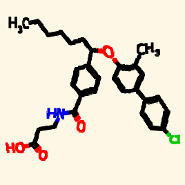 CCCCCCC(Oc1ccc(-c2ccc(Cl)cc2)cc1C)c1ccc(C(=O)NCCC(=O)O)cc1